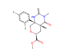 C=C1N[C@@]2(c3ccc(F)cc3F)CO[C@H](C(=O)OC)C[C@H]2C(=O)N1C